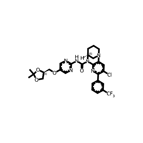 CC1(C)OC[C@H](COc2cnc(NC(=O)N3c4nc(-c5cccc(C(F)(F)F)c5)c(Cl)cc4N4CCC[C@H]3C4)nc2)O1